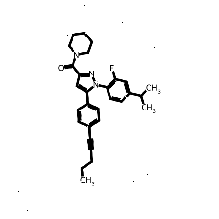 CCCC#Cc1ccc(-c2cc(C(=O)N3CCCCC3)nn2-c2ccc(C(C)C)cc2F)cc1